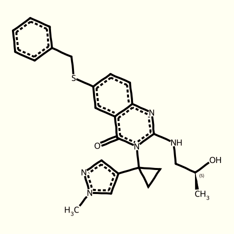 C[C@H](O)CNc1nc2ccc(SCc3ccccc3)cc2c(=O)n1C1(c2cnn(C)c2)CC1